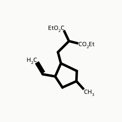 C=CC1CC(C)CC1CC(C(=O)OCC)C(=O)OCC